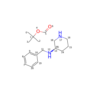 CC(C)(C)OC=O.c1ccc(CN[C@@H]2CCCNC2)cc1